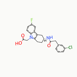 O=C(O)Cn1c2c(c3cc(F)ccc31)C[C@H](NC(=O)Cc1cccc(Cl)c1)CC2